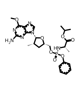 COc1nc(N)nc2c1ncn2[C@@H]1O[C@H](CO[P@@](=O)(N[C@@H](C)C(=O)OC(C)C)Oc2ccccc2)C[C@@H]1C